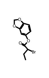 CCC(Br)C(=O)Oc1ccc2c(c1)OCO2